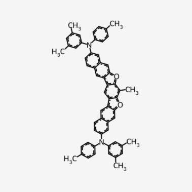 Cc1ccc(N(c2cc(C)cc(C)c2)c2ccc3cc4c(cc3c2)oc2c(C)c3oc5cc6cc(N(c7ccc(C)cc7)c7cc(C)cc(C)c7)ccc6cc5c3cc24)cc1